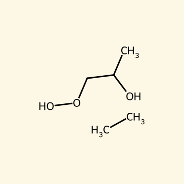 CC.CC(O)COO